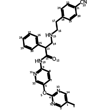 Cc1cnc(Oc2ccc(NC(=O)C(CNCCc3ccc(C#N)cc3)c3ccccc3)nc2)nc1